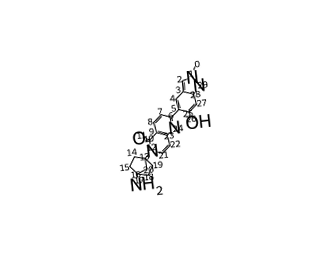 Cn1cc2cc(-c3ccc4c(=O)n(C56CCC(N)(CC5)C6)ccc4n3)c(O)cc2n1